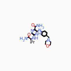 CC(C)C(Nc1cnc(C(N)=O)c(Nc2ccc(CN3CCOCC3)cc2)n1)C(N)=O